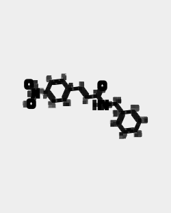 O=C(C=Cc1ccc([N+](=O)[O-])cc1)NCc1ccccc1